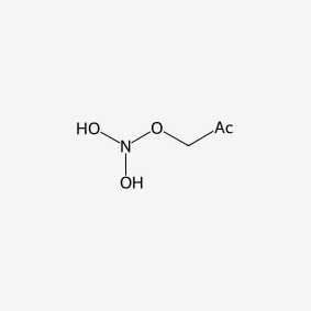 CC(=O)CON(O)O